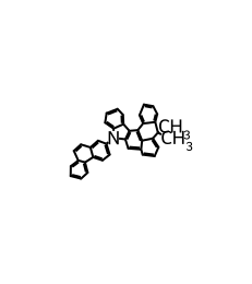 CC1(C)c2ccccc2-c2c3c1cccc3cc1c2c2ccccc2n1-c1ccc2c(ccc3ccccc32)c1